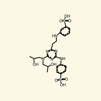 CC(O)CN(CC(C)O)c1nc(CCNc2cccc(S(=O)(=O)O)c2)nc(Nc2ccc(S(=O)(=O)O)cc2)n1